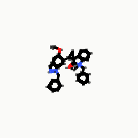 COc1cc2cnn(Cc3ccccc3)c2cc1[C@@H]1C[C@@]12C(=O)[N+](C)(Cc1ccccc1)c1ccccc12